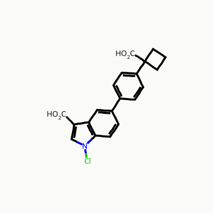 O=C(O)c1cn(Cl)c2ccc(-c3ccc(C4(C(=O)O)CCC4)cc3)cc12